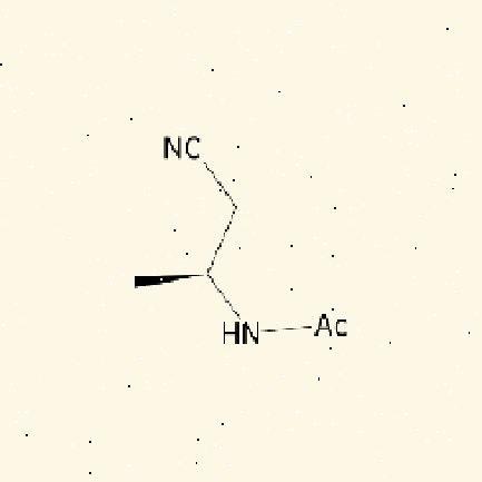 CC(=O)N[C@@H](C)CC#N